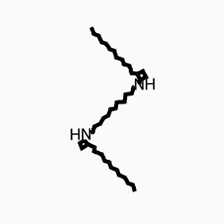 CCCCCCCCCCCCC1CCC1NCCCCCCCCCCCCNC1CCC1CCCCCCCCCCCC